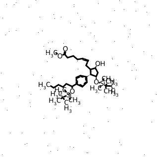 CCCCCC(O[Si](C)(C)C(C)(C)C)c1ccc([C@@H]2C(C/C=C\CCCC(=O)OC)[C@@H](O)C[C@H]2O[Si](C)(C)C(C)(C)C)cc1